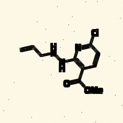 C=CCNNc1nc(Cl)ccc1C(=O)OC